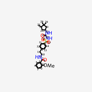 COc1ccccc1C(=O)NCCc1ccc(S(=O)(=O)NC(=O)NC2CC(C)C(C)(C)C2)cc1